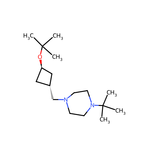 CC(C)(C)O[C@H]1C[C@H](CN2CCN(C(C)(C)C)CC2)C1